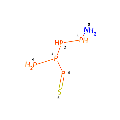 NPPP(P)P=S